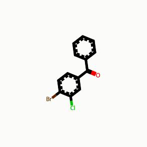 O=C(c1ccccc1)c1ccc(Br)c(Cl)c1